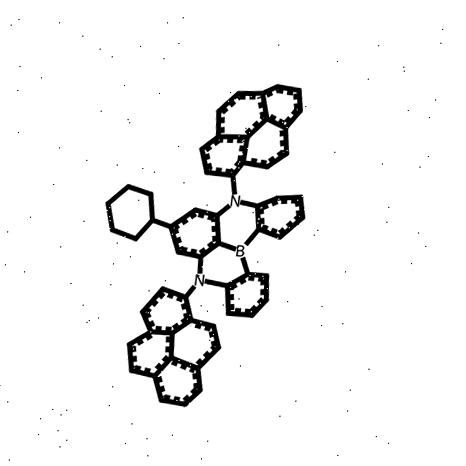 c1ccc2c(c1)B1c3ccccc3N(c3ccc4ccc5cccc6ccc3c4c56)c3cc(C4CCCCC4)cc(c31)N2c1ccc2ccc3cccc4ccc1c2c34